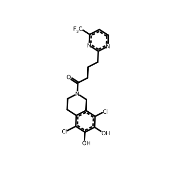 O=C(CCCc1nccc(C(F)(F)F)n1)N1CCc2c(Cl)c(O)c(O)c(Cl)c2C1